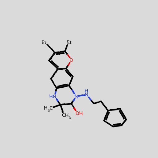 CCC1=C(CC)OC2=CC3=C(CC2=C1)NC(C)(C)C(O)N3NCCc1ccccc1